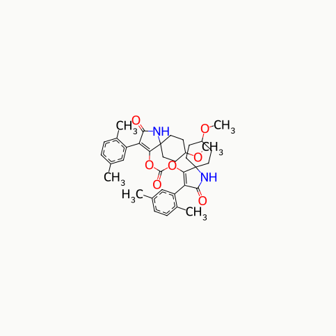 COC1CCC2(CC1)NC(=O)C(c1cc(C)ccc1C)=C2OC(=O)OC1=C(c2cc(C)ccc2C)C(=O)NC12CCC(OC)CC2